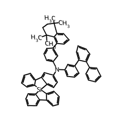 CC1(C)CCC(C)(C)c2c(-c3cccc(N(c4cccc(-c5ccccc5-c5ccccc5)c4)c4ccc5c(c4)-c4ccccc4[Si]54c5ccccc5-c5ccccc54)c3)cccc21